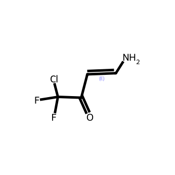 N/C=C/C(=O)C(F)(F)Cl